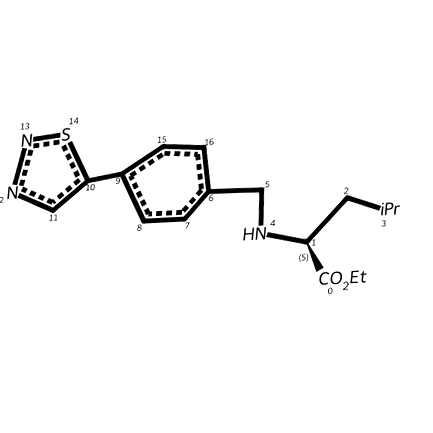 CCOC(=O)[C@H](CC(C)C)NCc1ccc(-c2cnns2)cc1